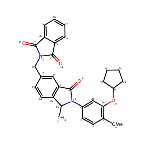 COc1ccc(N2C(=O)c3cc(CN4C(=O)c5ccccc5C4=O)ccc3C2C)cc1OC1CCCC1